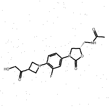 CC(=O)NC[C@H]1CN(c2ccc(N3CC(C(=O)CO)C3)c(F)c2)C(=O)O1